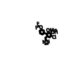 COc1c(O)c(Cl)cc(C=C2N=CC=N2)c1-c1cccc(OC(F)F)c1